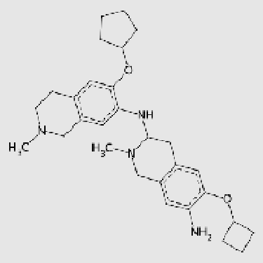 CN1CCc2cc(OC3CCCC3)c(NC3Cc4cc(OC5CCC5)c(N)cc4CN3C)cc2C1